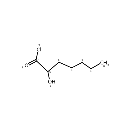 CCCCCC(O)C(=O)Cl